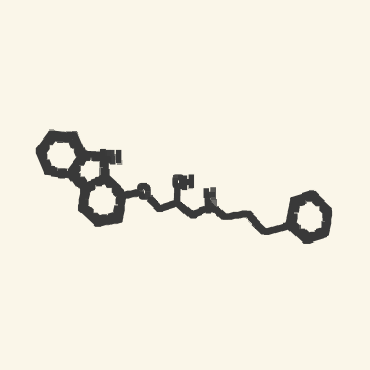 OC(CNCCCc1ccccc1)COc1cccc2c1[nH]c1ccccc12